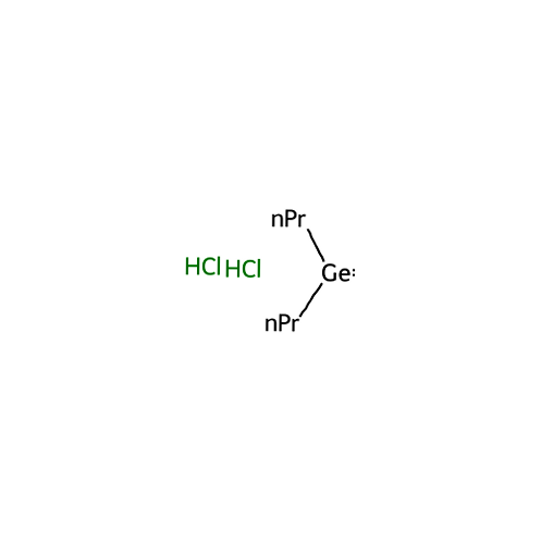 CC[CH2][Ge][CH2]CC.Cl.Cl